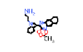 CC(=O)On1c(=O)c(-c2cn(CCCN)c3ccccc23)nc2cc3c(cc21)CCCC3